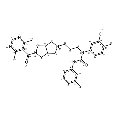 Cc1cccc(NC(=O)N(CCCN2CC3CN(C(=O)c4c(C)ncnc4C)CC3C2)c2ccc(C)c(Cl)c2)c1